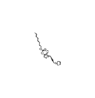 CCCCCCCCOC(=O)O[C@H]1CCN(CC#CCN2CCCC2)C1=O